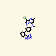 Cc1cc(N(C)c2ccc(-c3ccccc3-c3nnn[nH]3)cc2)n2ncc(Cl)c2n1